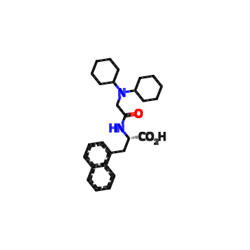 O=C(CN(C1CCCCC1)C1CCCCC1)N[C@@H](Cc1cccc2ccccc12)C(=O)O